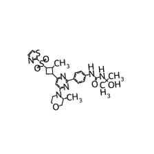 CC1C(c2cc(N3CCOC[C@@H]3C)nc(-c3ccc(NC(=O)NC(C)(C)O)cc3)n2)CC1S(=O)(=O)c1nccs1